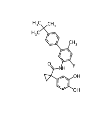 Cc1cc(F)c(NC(=O)C2(c3ccc(O)c(O)c3)CC2)cc1-c1ccc(C(C)(C)C)cc1